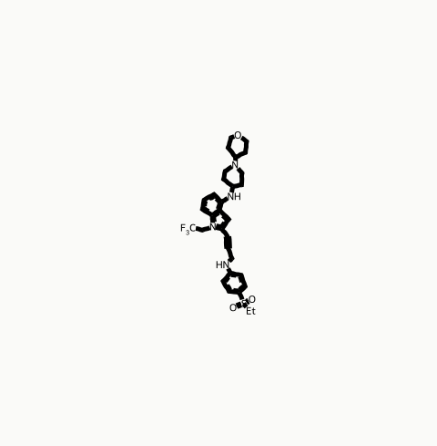 CCS(=O)(=O)c1ccc(NCC#Cc2cc3c(NC4CCN(C5CCOCC5)CC4)cccc3n2CC(F)(F)F)cc1